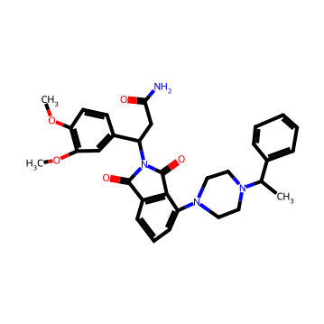 COc1ccc(C(CC(N)=O)N2C(=O)c3cccc(N4CCN(C(C)c5ccccc5)CC4)c3C2=O)cc1OC